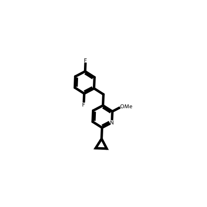 COc1nc(C2CC2)ccc1Cc1cc(F)ccc1F